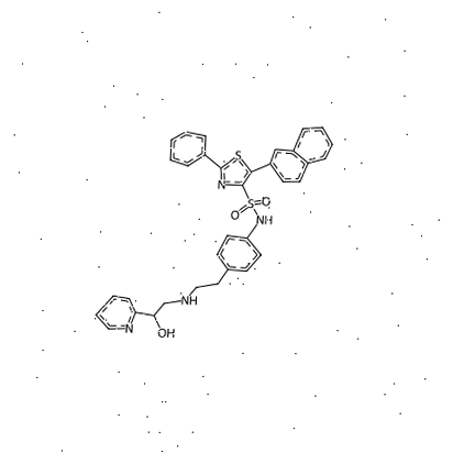 O=S(=O)(Nc1ccc(CCNCC(O)c2ccccn2)cc1)c1nc(-c2ccccc2)sc1-c1ccc2ccccc2c1